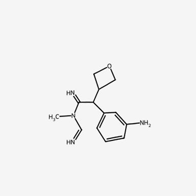 CN(C=N)C(=N)C(c1cccc(N)c1)C1COC1